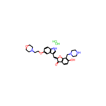 Cl.Cl.O=C1/C(=C/c2c[nH]c3ccc(OCCN4CCOCC4)cc23)Oc2c1ccc(O)c2CN1CCNCC1